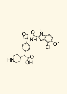 COc1ccc2c(cc(C(=O)NC3(c4ccc(C(C(=O)O)C5CCNCC5)cc4)COC3)n2C)c1Cl